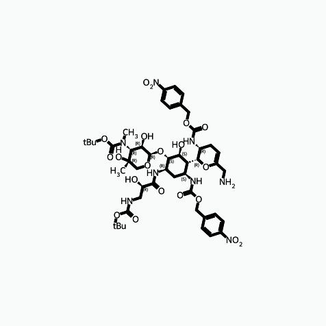 CN(C(=O)OC(C)(C)C)[C@@H]1[C@@H](O)[C@@H](O[C@H]2[C@H](NC(=O)[C@H](O)CNC(=O)OC(C)(C)C)C[C@H](NC(=O)OCc3ccc([N+](=O)[O-])cc3)C([C@H]3OC(CN)=CC[C@H]3NC(=O)OCc3ccc([N+](=O)[O-])cc3)[C@@H]2O)OC[C@]1(C)O